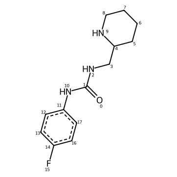 O=C(NCC1CCCCN1)Nc1ccc(F)cc1